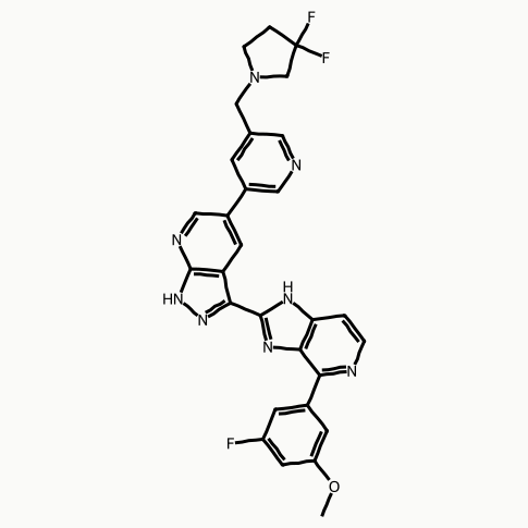 COc1cc(F)cc(-c2nccc3[nH]c(-c4n[nH]c5ncc(-c6cncc(CN7CCC(F)(F)C7)c6)cc45)nc23)c1